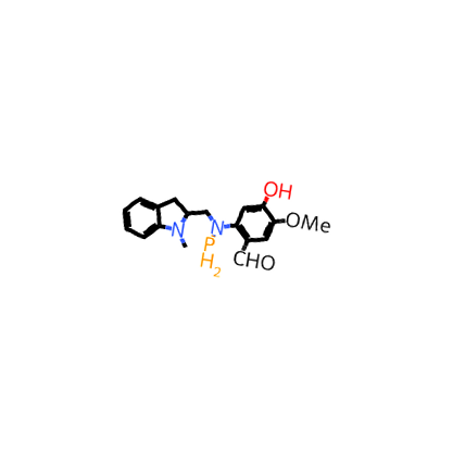 COc1cc(C=O)c(N(P)CC2Cc3ccccc3N2C)cc1O